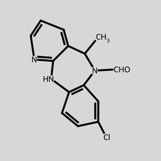 CC1c2cccnc2Nc2ccc(Cl)cc2N1C=O